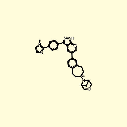 Cn1ccnc1-c1ccc(-c2n[nH]c3ncc(-c4ccc5c(c4)CC[C@@H](N4C6COCC4C6)CC5)cc23)cc1